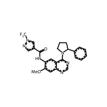 COc1cc2ncnc(N3CCCC3c3ccccc3)c2cc1NC(=O)c1cnn(C(F)(F)F)c1